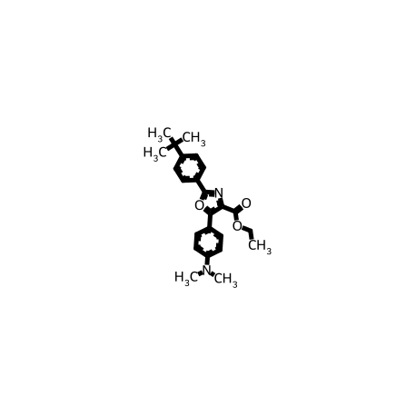 CCOC(=O)c1nc(-c2ccc(C(C)(C)C)cc2)oc1-c1ccc(N(C)C)cc1